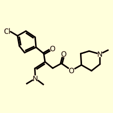 CN(C)C=C(CC(=O)OC1CCN(C)CC1)C(=O)c1ccc(Cl)cc1